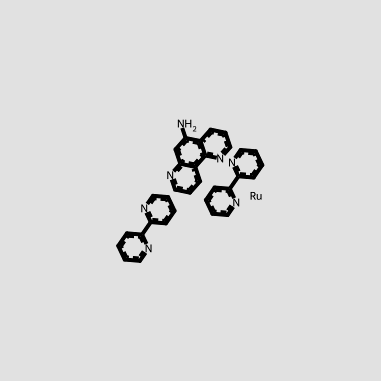 Nc1cc2ncccc2c2ncccc12.[Ru].c1ccc(-c2ccccn2)nc1.c1ccc(-c2ccccn2)nc1